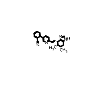 C[C@H]1[C@H](/C=C/c2ccc(-c3ccccc3C#N)cn2)c2nc[nH]c2C[C@@H]1C